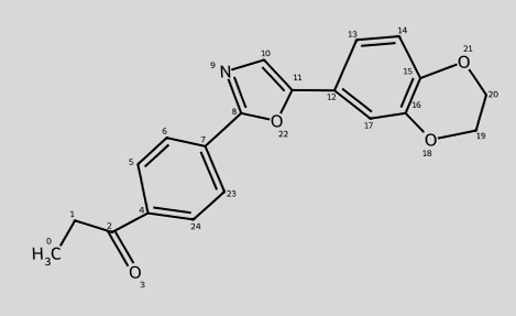 CCC(=O)c1ccc(-c2ncc(-c3ccc4c(c3)OCCO4)o2)cc1